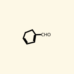 O=CC1=CC=CCC1